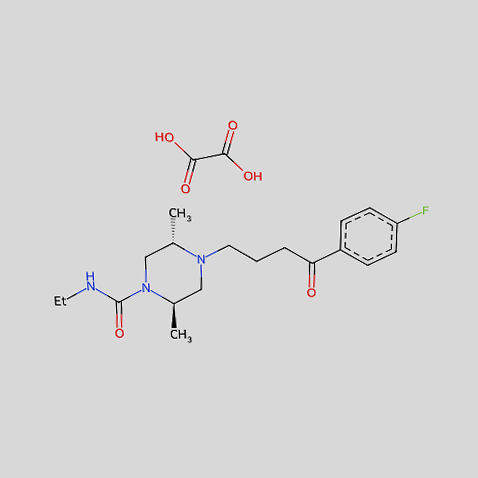 CCNC(=O)N1C[C@H](C)N(CCCC(=O)c2ccc(F)cc2)C[C@H]1C.O=C(O)C(=O)O